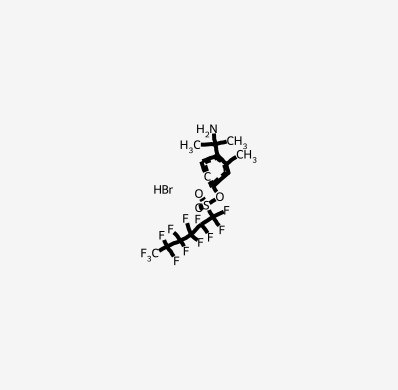 Br.Cc1cc(OS(=O)(=O)C(F)(F)C(F)(F)C(F)(F)C(F)(F)C(F)(F)C(F)(F)F)ccc1C(C)(C)N